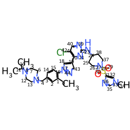 Cc1cc(CN2CCN(C(C)C)CC2)ccc1-n1cc(-c2nc(NC3CCN(S(=O)(=O)c4cn(C)cn4)CC3)ncc2Cl)cn1